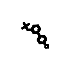 CC(C)(C)Cc1cccc(-c2ccc(Cl)cc2)c1